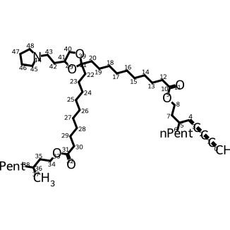 C=C=C=C=CC(CCCCC)CCOC(=O)CCCCCCCCCC1(CCCCCCCCCC(=O)OCCC(C)CCCCC)OCC(CCN2CCCC2)O1